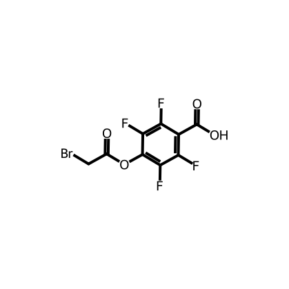 O=C(CBr)Oc1c(F)c(F)c(C(=O)O)c(F)c1F